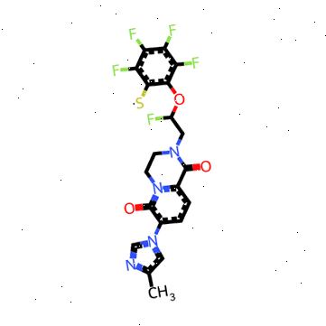 Cc1cn(-c2ccc3n(c2=O)CCN(CC(F)Oc2c(F)c(F)c(F)c(F)c2[S])C3=O)cn1